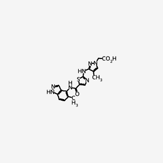 Cc1cn(CC(=O)O)nc1Nc1ncc(C(=O)Nc2c(C)ccc3[nH]ncc23)s1